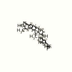 CCOc1cc2c(cc1CN1CCC(Nc3ncnc4sc(CC(F)(F)F)cc34)CC1)cc(C#N)n2C[C@H](C)CO